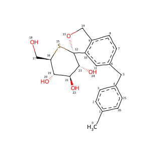 Cc1ccc(Cc2ccc3c(c2)[C@]2(OC3)S[C@H](CO)[C@@H](O)[C@H](O)[C@H]2O)cc1